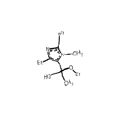 CCCc1nc(CC)c(C(C)(O)OCC)n1C